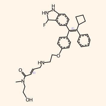 CN(CCO)C(=O)/C=C/CNCCOc1ccc(/C(=C(\c2ccccc2)C2CCC2)c2ccc3c(c2)C(F)NN3)cc1